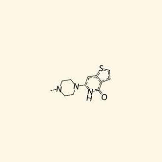 CN1CCN(c2cc3sccc3c(=O)[nH]2)CC1